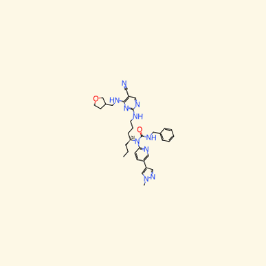 CCC[C@@H](CCCNc1ncc(C#N)c(NCC2CCOC2)n1)N(C(=O)NCc1ccccc1)c1ccc(-c2cnn(C)c2)cn1